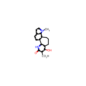 Cn1ccc2ccc3c(c21)CCCc1c-3[nH]c(=O)c(C(=O)O)c1O